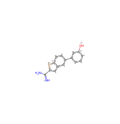 N=C(N)c1cc2cc(-c3cccc(O)c3)ccc2s1